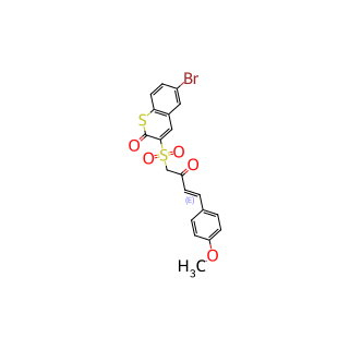 COc1ccc(/C=C/C(=O)CS(=O)(=O)c2cc3cc(Br)ccc3sc2=O)cc1